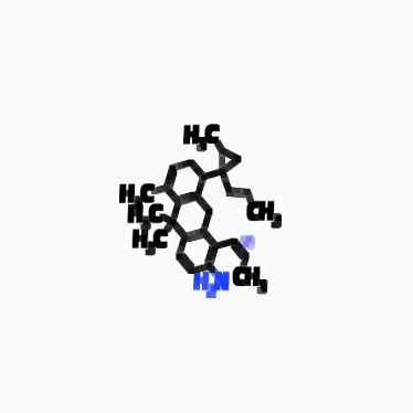 CC=CC1(C2CC=C(C)C3=C2Cc2c(ccc(N)c2/C=C\C)C3(C)C)CC1C